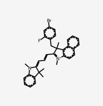 CN1/C(=C/C=C/C2=[N+](C)c3ccc4ccccc4c3C2(C)Cc2ccc(Br)cc2F)C(C)(C)c2ccccc21